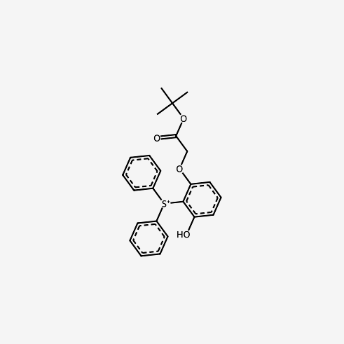 CC(C)(C)OC(=O)COc1cccc(O)c1[S+](c1ccccc1)c1ccccc1